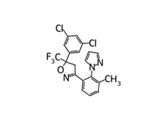 Cc1cccc(C2=NOC(c3cc(Cl)cc(Cl)c3)(C(F)(F)F)C2)c1-n1cccn1